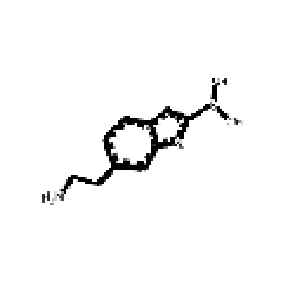 NCCc1ccc2cc(B(O)O)[nH]c2c1